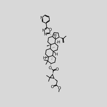 C=C(C)[C@@H]1CC[C@]2(c3nnc(-c4cccnc4)o3)CC[C@]3(C)[C@H](CC[C@@H]4[C@@]5(C)CC[C@H](OC(=O)[C@H]6[C@@H](CC(=O)OC)C6(C)C)C(C)(C)[C@@H]5CC[C@]43C)[C@@H]12